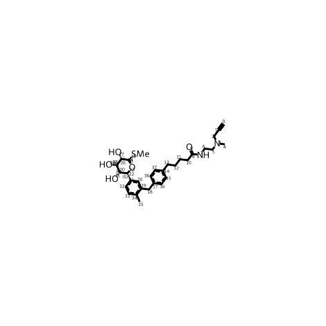 C#CCN(C)CCNC(=O)CCCCc1ccc(Cc2cc([C@@H]3O[C@H](SC)[C@@H](O)[C@H](O)[C@H]3O)ccc2C)cc1